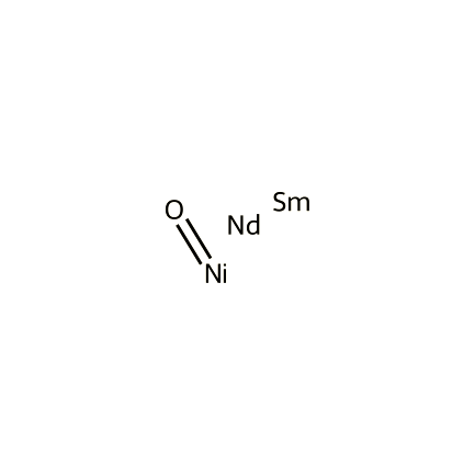 [Nd].[O]=[Ni].[Sm]